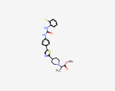 CC(C(=O)OC(C)(C)C)N1CCC(c2ncc(-c3ccc(NC(=O)Nc4ccccc4F)cc3)s2)CC1